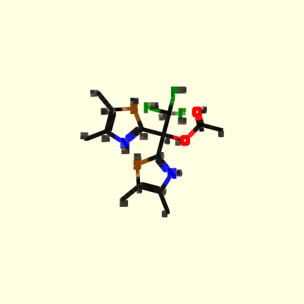 CC(=O)OC(c1nc(C)c(C)s1)(c1nc(C)c(C)s1)C(F)(F)F